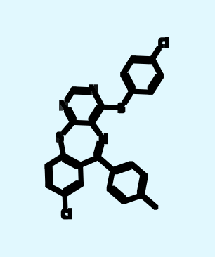 Cc1ccc(C2=Nc3c(Sc4ccc(Cl)cc4)ncnc3Sc3ccc(Cl)cc32)cc1